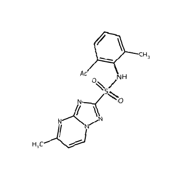 CC(=O)c1cccc(C)c1NS(=O)(=O)c1nc2nc(C)ccn2n1